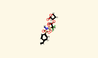 C=Cc1ccc(S(=O)(=O)N(C)S(=O)(=O)C(F)(F)C(=O)OC2CCOC2=O)cc1